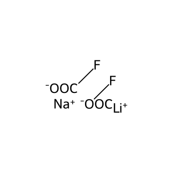 O=C([O-])F.O=C([O-])F.[Li+].[Na+]